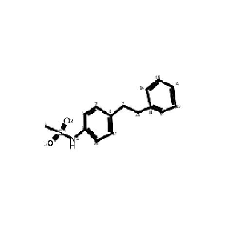 CS(=O)(=O)Nc1ccc(CCc2c[c]ccc2)cc1